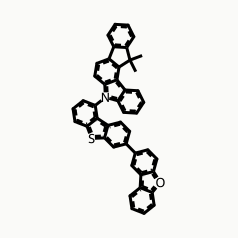 CC1(C)c2ccccc2-c2ccc3c(c21)c1ccccc1n3-c1cccc2sc3cc(-c4ccc5oc6ccccc6c5c4)ccc3c12